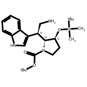 CC(C)(C)OC(=O)N1CC[C@H](O[Si](C)(C)C(C)(C)C)[C@H]1[C@H](CN)c1c[nH]c2ccccc12